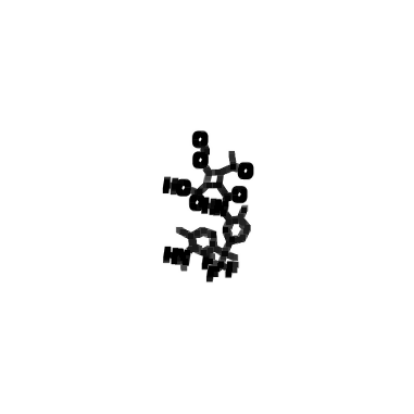 CNc1cc(C(C)(c2ccc(C)c(NC(=O)C3C(C(C)=O)C(OC=O)C3C(=O)O)c2)C(F)(F)F)ccc1C